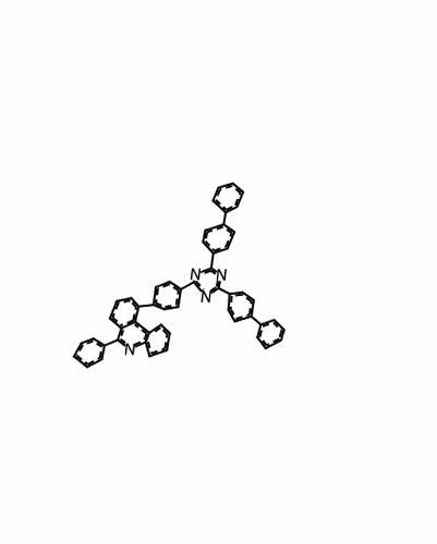 c1ccc(-c2ccc(-c3nc(-c4ccc(-c5ccccc5)cc4)nc(-c4ccc(-c5cccc6c(-c7ccccc7)nc7ccccc7c56)cc4)n3)cc2)cc1